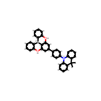 CC1(C)c2ccccc2N(c2ccc(-c3cc4c5c(c3)Oc3ccccc3B5c3ccccc3O4)cc2)c2ccccc21